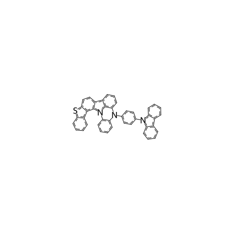 c1ccc2c(c1)N(c1ccc(-n3c4ccccc4c4ccccc43)cc1)c1cccc3c4ccc5sc6ccccc6c5c4n-2c13